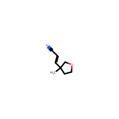 CC1(C=CC#N)CCOC1